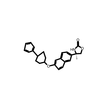 C[C@@]1(c2ccc3cc(OC4CCC(c5ccccc5)CC4)ccc3c2)COC(=O)N1